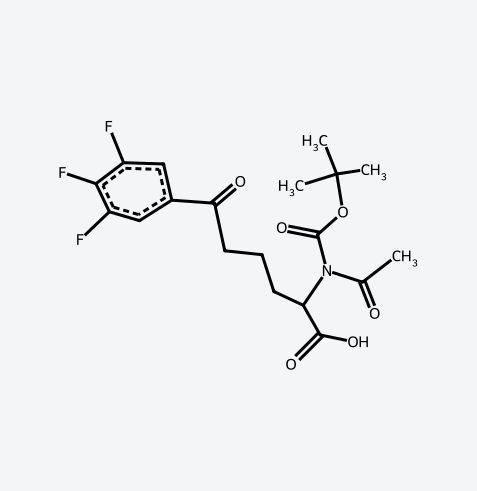 CC(=O)N(C(=O)OC(C)(C)C)C(CCCC(=O)c1cc(F)c(F)c(F)c1)C(=O)O